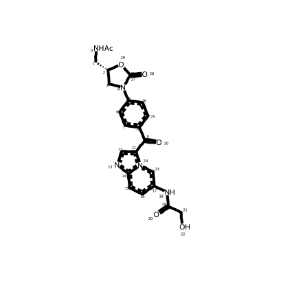 CC(=O)NC[C@H]1CN(c2ccc(C(=O)c3cnc4ccc(NC(=O)CO)cn34)cc2)C(=O)O1